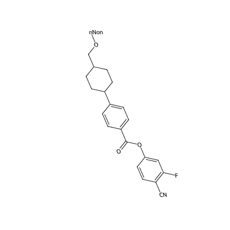 CCCCCCCCCOCC1CCC(c2ccc(C(=O)Oc3ccc(C#N)c(F)c3)cc2)CC1